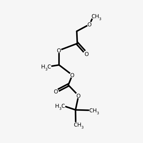 COCC(=O)OC(C)OC(=O)OC(C)(C)C